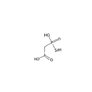 O=C(O)CP(=O)(O)[SeH]